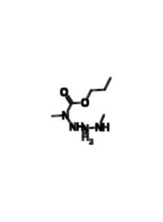 CCCOC(=O)N(C)N.CNN